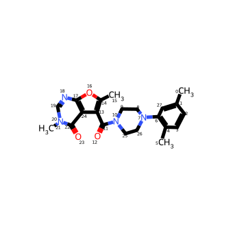 Cc1ccc(C)c(N2CCN(C(=O)c3c(C)oc4ncn(C)c(=O)c34)CC2)c1